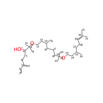 C=CC(=C)CCC(O)C(C)(C)OCCC(C)CCCC(C)(C)OCCC(C)CCC=C(C)C